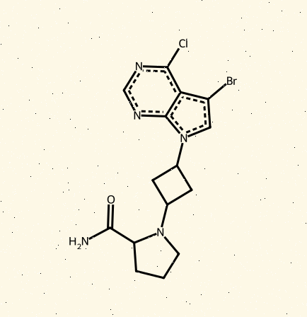 NC(=O)C1CCCN1C1CC(n2cc(Br)c3c(Cl)ncnc32)C1